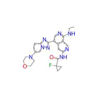 CCNc1ncc(-c2nc3ccc(N4CCOCC4)cn3n2)c2cc(NC(=O)C3(F)CC3)ncc12